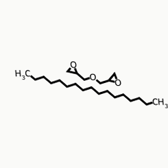 C(OCC1CO1)C1CO1.CCCCCCCCCCCCCCCCC